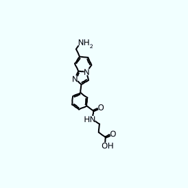 NCc1ccn2cc(-c3cccc(C(=O)NCCC(=O)O)c3)nc2c1